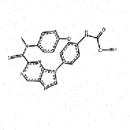 CN(C(=O)c1ncc2ncn(-c3ccc(NC(=O)OC(C)(C)C)cc3)c2n1)c1ccc(Cl)cc1